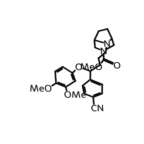 COC(=O)N1CC2CCC(C1)N2CCCC(Oc1ccc(OC)c(OC)c1)c1ccc(C#N)cc1